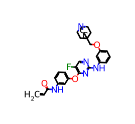 C=CC(=O)Nc1cccc(Oc2nc(Nc3cccc(OCC45CCN(CC4)CC5)c3)ncc2F)c1